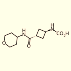 O=C(O)N[C@H]1C[C@H](C(=O)NC2CCOCC2)C1